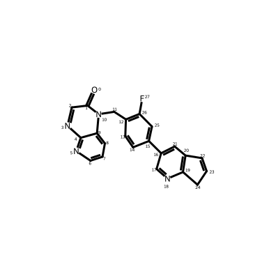 O=c1cnc2ncccc2n1Cc1ccc(-c2cnc3c(c2)C=CC3)cc1F